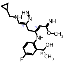 COC(=N)/C=C(/C/C(=C/NCC1CC1)N=N)Nc1ccc(F)cc1[C@@H](C)O